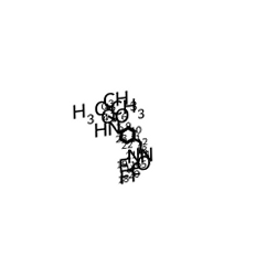 CC(C)(C)OC(=O)Nc1ccc(Cc2noc(C(F)(F)F)n2)cc1